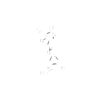 CS(=O)(=O)c1cc(/N=N/c2snc3c(C#N)c(Cl)ncc23)ccc1O